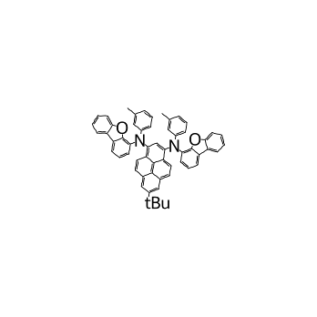 Cc1cccc(N(c2cc(N(c3cccc(C)c3)c3cccc4c3oc3ccccc34)c3ccc4cc(C(C)(C)C)cc5ccc2c3c54)c2cccc3c2oc2ccccc23)c1